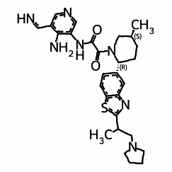 CC(CN1CCCC1)c1nc2cc([C@H]3CC[C@H](C)CN3C(=O)C(=O)Nc3cncc(C=N)c3N)ccc2s1